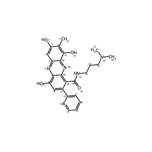 Cc1c(O)cc2nc3c(O)cc(-c4bcccc4)c(C(=O)NCCCN(C)C)c3nc2c1O